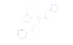 C=Nc1[nH]nc(N2CCC[C@@H]2c2cc(F)ccc2F)c1/C=C(\C)C(=O)Nc1ccn[nH]1